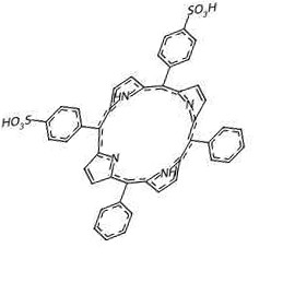 O=S(=O)(O)c1ccc(-c2c3nc(c(-c4ccccc4)c4ccc([nH]4)c(-c4ccccc4)c4nc(c(-c5ccc(S(=O)(=O)O)cc5)c5ccc2[nH]5)C=C4)C=C3)cc1